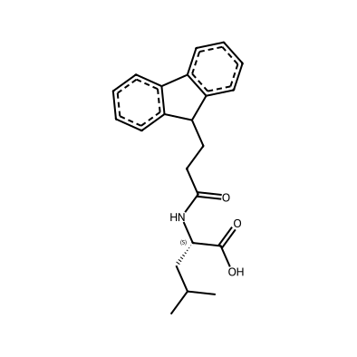 CC(C)C[C@H](NC(=O)CCC1c2ccccc2-c2ccccc21)C(=O)O